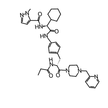 CCC(=O)N[C@H](Cc1ccc(NC(=O)[C@@H](NC(=O)c2ccnn2C)C2CCCCC2)cc1)C(=O)N1CCN(Cc2ccccn2)CC1